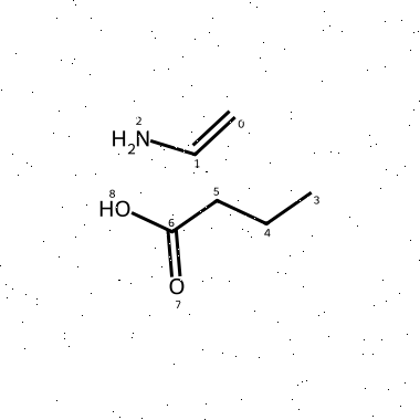 C=CN.CCCC(=O)O